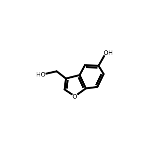 OCc1coc2ccc(O)cc12